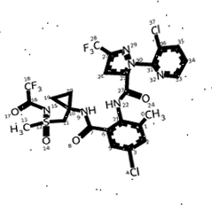 Cc1cc(Cl)cc(C(=O)NC2(CS(C)(=O)=NC(=O)C(F)(F)F)CC2)c1NC(=O)c1cc(C(F)(F)F)nn1-c1ncccc1Cl